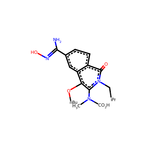 CCCCOc1c(N(C)C(=O)O)n(CC(C)C)c(=O)c2ccc(C(N)=NO)cc12